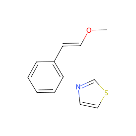 COC=Cc1ccccc1.c1cscn1